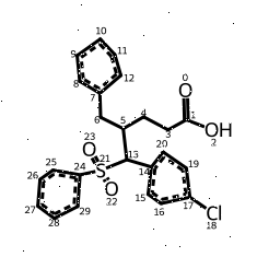 O=C(O)CCC(Cc1ccccc1)C(c1ccc(Cl)cc1)S(=O)(=O)c1ccccc1